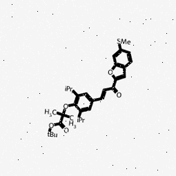 CSc1ccc2cc(C(=O)/C=C/c3cc(C(C)C)c(OC(C)(C)C(=O)OC(C)(C)C)c(C(C)C)c3)oc2c1